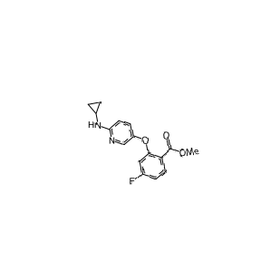 COC(=O)c1ccc(F)cc1Oc1ccc(NC2CC2)nc1